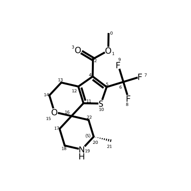 COC(=O)c1c(C(F)(F)F)sc2c1CCOC21CCN[C@@H](C)C1